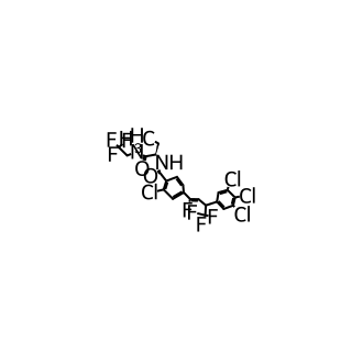 CC[C@@H](NC(=O)c1ccc(/C(F)=C/C(c2cc(Cl)c(Cl)c(Cl)c2)C(F)(F)F)cc1Cl)C(=O)NCC(F)(F)F